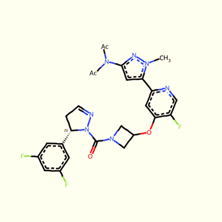 CC(=O)N(C(C)=O)c1cc(-c2cc(OC3CN(C(=O)N4N=CC[C@H]4c4cc(F)cc(F)c4)C3)c(F)cn2)n(C)n1